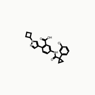 O=C(O)c1cc(NC(=O)C2(c3cccc(Cl)c3)CC2)ccc1-c1cnn(C2CCC2)c1